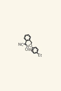 CCc1ccc(OCc2ccccc2C(C#N)=NOC)cc1